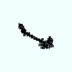 CC1=N[C@H]2C(O)[C@H](O[C@@H]3OC(CNC(=O)CCOCCOCCOCCNC(=O)c4ccc(-c5nnc(C)nn5)cc4)[C@@H](O)C(O)C3O)C(CO)O[C@H]2O1